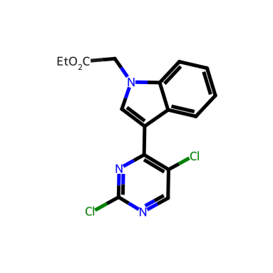 CCOC(=O)Cn1cc(-c2nc(Cl)ncc2Cl)c2ccccc21